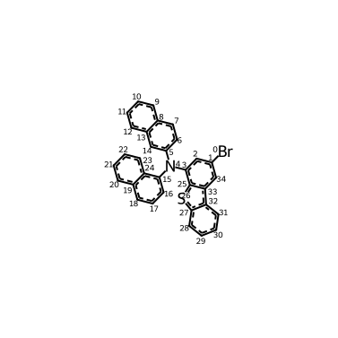 Brc1cc(N(c2ccc3ccccc3c2)c2cccc3ccccc23)c2sc3ccccc3c2c1